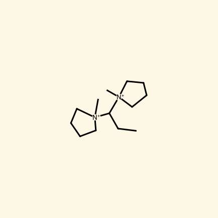 CCC([N+]1(C)CCCC1)[N+]1(C)CCCC1